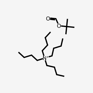 CC(C)(C)OC=O.CCCC[N+](CCCC)(CCCC)CCCC